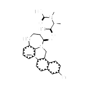 COc1ccc2cc(Br)ccc2c1CN1C(=O)[C@@H](NC(=O)[C@H](C)N(C)C(=O)O)CNc2ccccc21